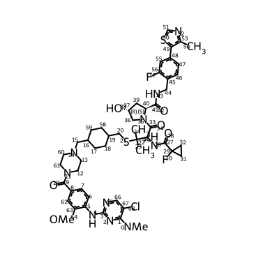 CNc1nc(Nc2ccc(C(=O)N3CCN(CC4CCC(CSC(C)(C)[C@H](NC(=O)C5(F)CC5)C(=O)N5C[C@H](O)C[C@H]5C(=O)NCc5ccc(-c6scnc6C)cc5F)CC4)CC3)cc2OC)ncc1Cl